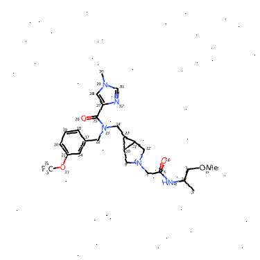 COCC(C)NC(=O)CN1CC2C(C1)C2CN(Cc1cccc(OC(F)(F)F)c1)C(=O)c1cn(C)cn1